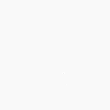 c1ccc2c(c1)ccc1cc(-c3ccc4ccc(-c5cccc6c5oc5ccccc56)cc4c3)c3ccccc3c12